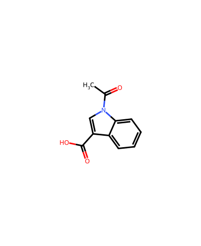 CC(=O)n1cc(C(=O)O)c2ccccc21